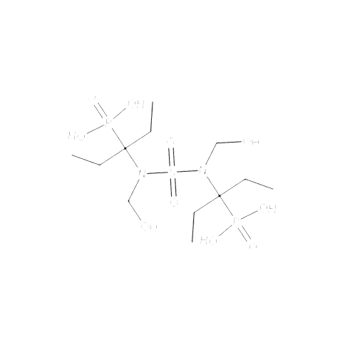 CCC(CC)(N(CO)S(=O)(=O)N(CO)C(CC)(CC)P(=O)(O)O)P(=O)(O)O